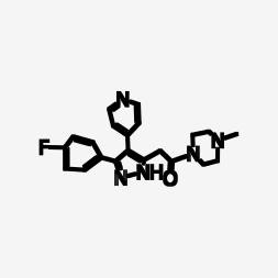 CN1CCN(C(=O)Cc2[nH]nc(-c3ccc(F)cc3)c2-c2ccncc2)CC1